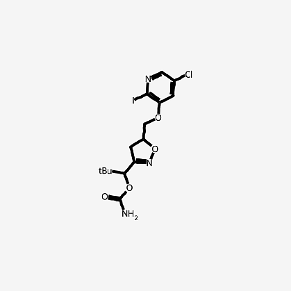 CC(C)(C)C(OC(N)=O)C1=NOC(COc2cc(Cl)cnc2I)C1